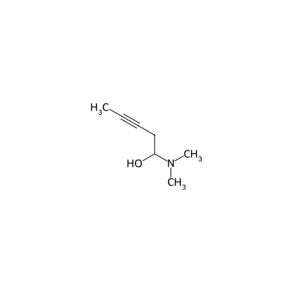 CC#CCC(O)N(C)C